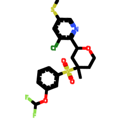 CSc1cnc(C2CC(C)(S(=O)(=O)c3cccc(OC(F)F)c3)CCO2)c(Cl)c1